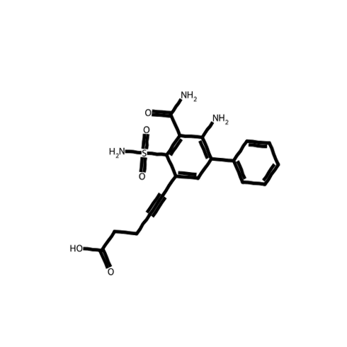 NC(=O)c1c(N)c(-c2ccccc2)cc(C#CCCC(=O)O)c1S(N)(=O)=O